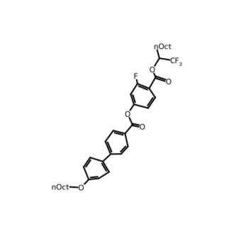 CCCCCCCCOc1ccc(-c2ccc(C(=O)Oc3ccc(C(=O)OC(CCCCCCCC)C(F)(F)F)c(F)c3)cc2)cc1